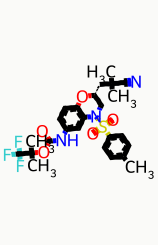 Cc1ccc(S(=O)(=O)N2C[C@@H](CC(C)(C)C#N)Oc3ccc(NC(=O)OC(C)(C)C(F)(F)F)cc32)cc1